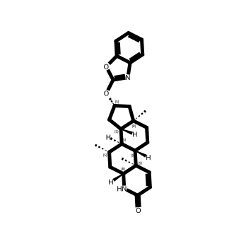 C[C@H]1C[C@H]2NC(=O)C=C[C@]2(C)[C@H]2CC[C@]3(C)C[C@@H](Oc4nc5ccccc5o4)C[C@H]3[C@H]12